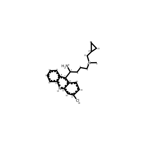 CN(CCCC(N)c1c2ccccc2nc2cc(Cl)ccc12)CC1CC1